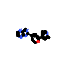 Cc1cc([C@H]2C[C@H](c3ncc4nccnc4n3)CCO2)ccn1